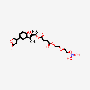 Cc1c(C(C)OC(=O)CCC(=O)OCCOCCON(O)O)oc2ccc(C3=CC(=O)OC3)cc12